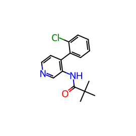 CC(C)(C)C(=O)Nc1cnccc1-c1ccccc1Cl